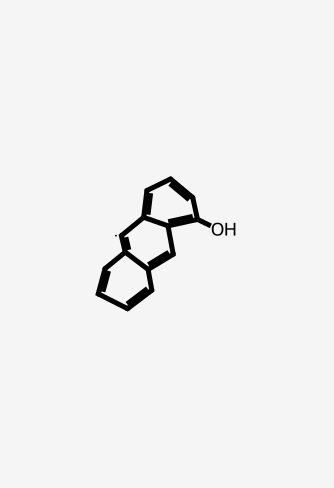 Oc1cccc2[c]c3ccccc3cc12